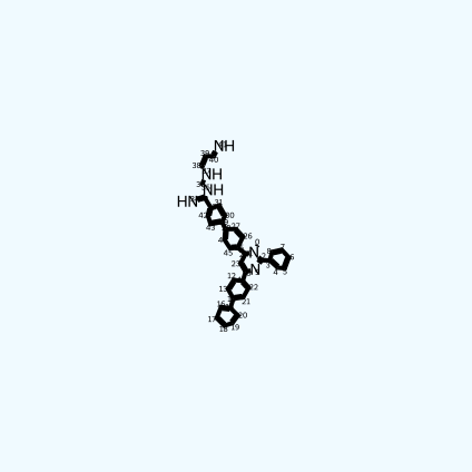 CN1C(c2ccccc2)=NC(c2ccc(-c3ccccc3)cc2)=CC1c1ccc(-c2ccc(C(=N)NCN/C=C\C=N)cc2)cc1